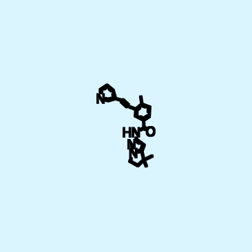 Cc1ccc(C(=O)Nc2cc3n(n2)CCC3(C)C)cc1C#Cc1cccnc1